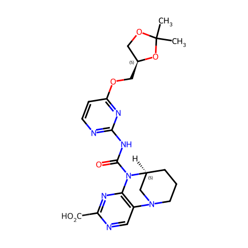 CC1(C)OC[C@H](COc2ccnc(NC(=O)N3c4nc(C(=O)O)ncc4N4CCC[C@H]3C4)n2)O1